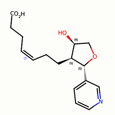 O=C(O)CC/C=C\CC[C@@H]1[C@@H](c2cccnc2)OC[C@@H]1O